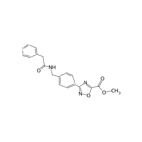 COC(=O)c1nc(-c2ccc(CNC(=O)Cc3ccccc3)cc2)no1